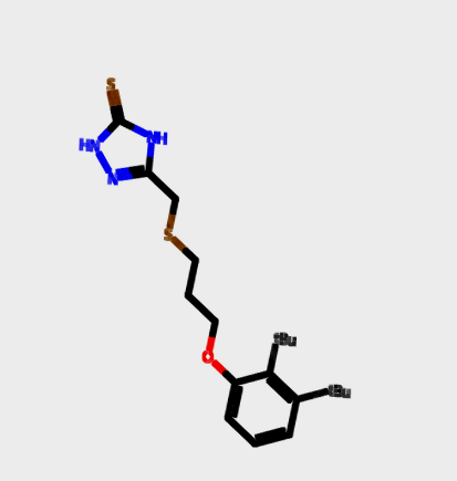 CC(C)(C)c1cccc(OCCCSCc2n[nH]c(=S)[nH]2)c1C(C)(C)C